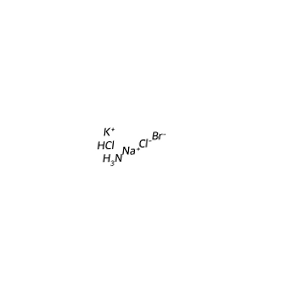 Cl.N.[Br-].[Cl-].[K+].[Na+]